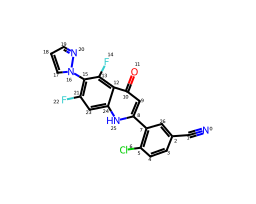 N#Cc1ccc(Cl)c(-c2cc(=O)c3c(F)c(-n4cccn4)c(F)cc3[nH]2)c1